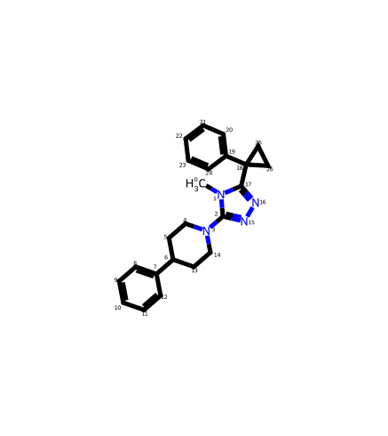 Cn1c(N2CCC(c3ccccc3)CC2)nnc1C1(c2ccccc2)CC1